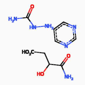 NC(=O)C(O)CC(=O)O.NNC(N)=O.c1cncnc1